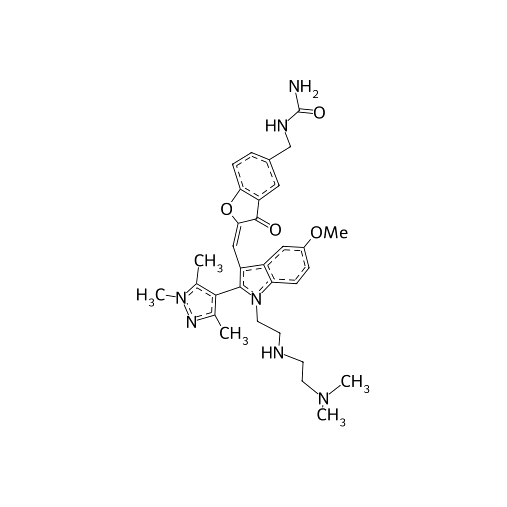 COc1ccc2c(c1)c(C=C1Oc3ccc(CNC(N)=O)cc3C1=O)c(-c1c(C)nn(C)c1C)n2CCNCCN(C)C